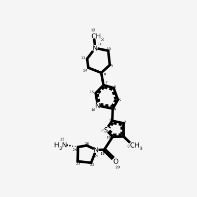 Cc1cc(-c2ccc(C3CCN(C)CC3)cn2)sc1C(=O)N1CC[C@H](N)C1